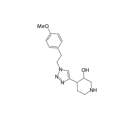 COc1ccc(CCn2cc(C3CCNCC3O)nn2)cc1